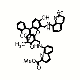 COC(=O)c1ccc2cccc(NCc3c4oc5c(CNc6cccc7ccc(C(C)=O)nc67)c(O)ccc5c(-c5ccccc5C(=O)O)c-4cc(C)c3=O)c2n1